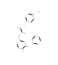 CCOc1ccc([Si](C)(C)C(F)=C(F)Cc2ccc(F)c(Oc3ccccc3)c2)cc1